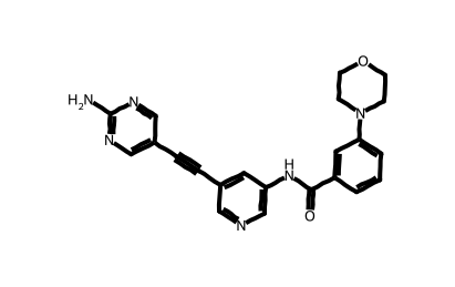 Nc1ncc(C#Cc2cncc(NC(=O)c3cccc(N4CCOCC4)c3)c2)cn1